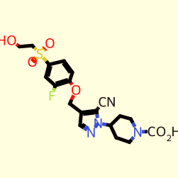 N#Cc1c(COc2ccc(S(=O)(=O)CCO)cc2F)cnn1C1CCN(C(=O)O)CC1